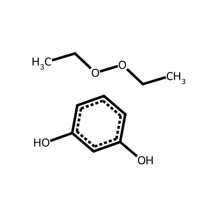 CCOOCC.Oc1cccc(O)c1